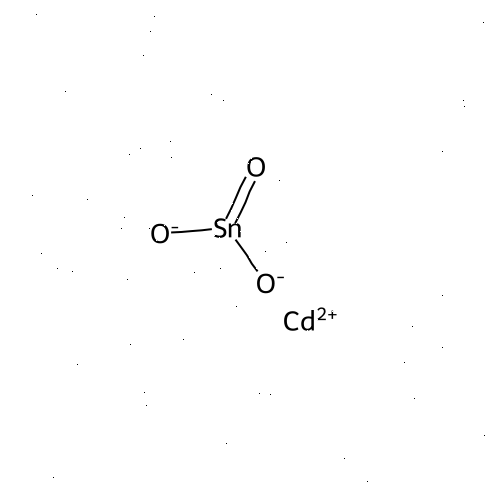 [Cd+2].[O]=[Sn]([O-])[O-]